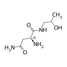 CC(O)CNC(=O)[C@@H](N)CC(N)=O